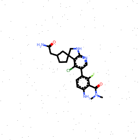 CN(C)C(=O)c1c(N)ccc(-c2cnc3c(c2Cl)C2(CCC(CC(N)=O)C2)CN3)c1F